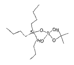 CCCC[Si](CCCC)(CCCC)[O][Ti]([OH])([OH])[O]C(C)(C)C